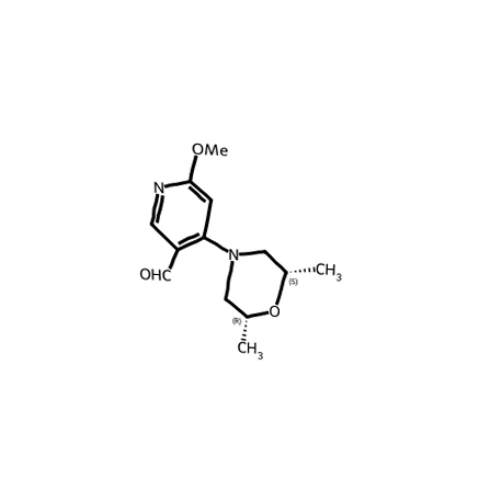 COc1cc(N2C[C@@H](C)O[C@@H](C)C2)c(C=O)cn1